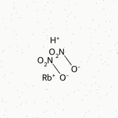 O=[N+]([O-])[O-].O=[N+]([O-])[O-].[H+].[Rb+]